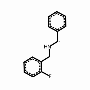 Fc1ccccc1CN[CH]c1ccccc1